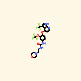 O=C(NCCN1CCOCC1)Nc1ccc(Oc2ccnc3[nH]cc(C(F)(F)F)c23)c(OC(F)(F)F)c1